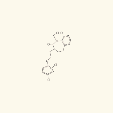 O=CCN1C(=O)C(CCOc2ccc(Cl)cc2Cl)CCc2ccccc21